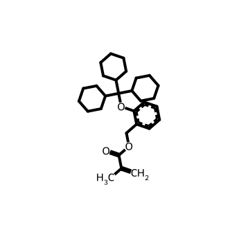 C=C(C)C(=O)OCc1ccccc1OC(C1CCCCC1)(C1CCCCC1)C1CCCCC1